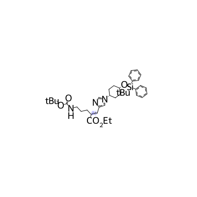 CCOC(=O)/C(=C/c1cn([C@H]2CC[C@@H](O[Si](c3ccccc3)(c3ccccc3)C(C)(C)C)CC2)cn1)CCCNC(=O)OC(C)(C)C